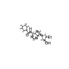 CC[C@H]1C[C@@H](n2cnc3c(NC(=O)c4ccccc4)ncnc32)C[C@@H]1O